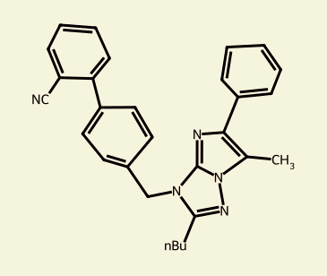 CCCCc1nn2c(C)c(-c3ccccc3)nc2n1Cc1ccc(-c2ccccc2C#N)cc1